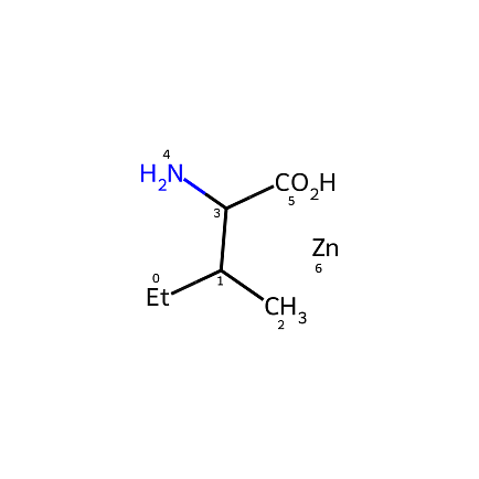 CCC(C)C(N)C(=O)O.[Zn]